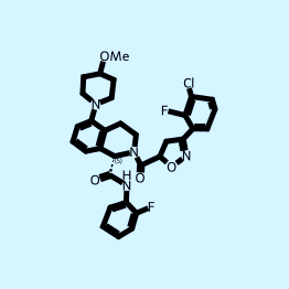 COC1CCN(c2cccc3c2CCN(C(=O)C2CC(c4cccc(Cl)c4F)=NO2)[C@@H]3C(=O)Nc2ccccc2F)CC1